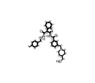 Cc1ccc(C=NNC(=O)c2c(NC(=O)c3cccc(CN4CCC(CO)CC4)c3)sc3ccccc23)cc1